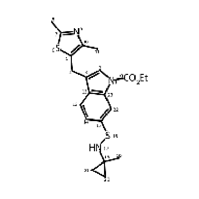 CCOC(=O)n1cc(Cc2sc(C)nc2C)c2ccc(SNC3(C)CC3)cc21